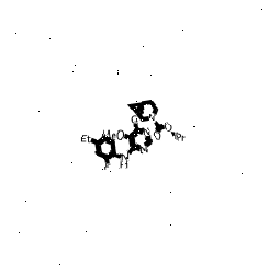 CCc1ccc(Nc2ncnc(OCC34CCN(C(=O)OC(C)C)CC3C4)c2OC)c(F)c1